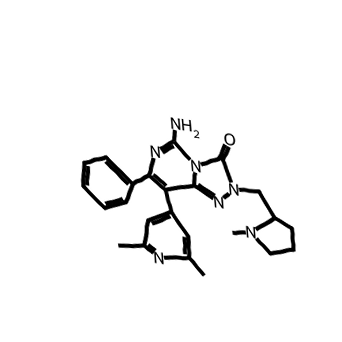 Cc1cc(-c2c(-c3ccccc3)nc(N)n3c(=O)n(CC4CCCN4C)nc23)cc(C)n1